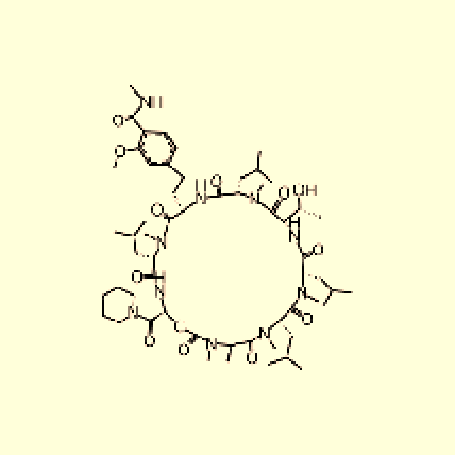 CNC(=O)c1ccc(CC[C@@H]2NC(=O)[C@H](CC(C)C)N(C)C(=O)[C@H]([C@@H](C)O)NC(=O)[C@H](CC(C)C)N(C)C(=O)[C@H](CC(C)C)N(C)C(=O)[C@@H](C)N(C)C(=O)C[C@@H](C(=O)N3CCCCC3)NC(=O)[C@H](CC(C)C)N(C)C2=O)cc1OC